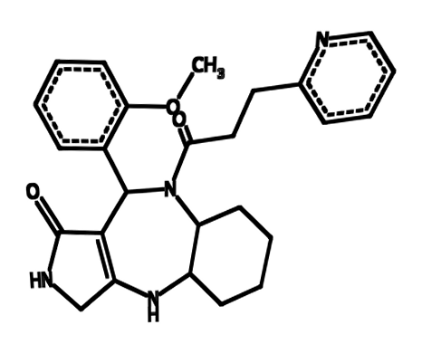 COc1ccccc1C1C2=C(CNC2=O)NC2CCCCC2N1C(=O)CCc1ccccn1